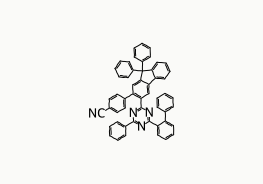 N#Cc1ccc(-c2cc3c(cc2-c2nc(-c4ccccc4)nc(-c4ccccc4-c4ccccc4)n2)-c2ccccc2C3(c2ccccc2)c2ccccc2)cc1